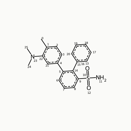 Cc1ccc(-c2cccc(S(N)(=O)=O)c2-c2ccccc2)cc1N(C)C